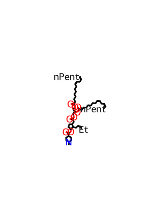 CC/C=C\CC1C(CC(=O)OCC(COC(=O)CCCCCCC/C=C\C/C=C\CCCCC)OC(=O)CCCCCCC/C=C\C/C=C\CCCCC)CCC1OC(=O)C1CCN(C)CC1